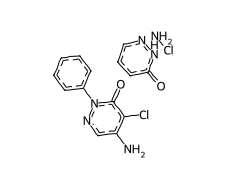 NCl.Nc1cnn(-c2ccccc2)c(=O)c1Cl.O=c1cccn[nH]1